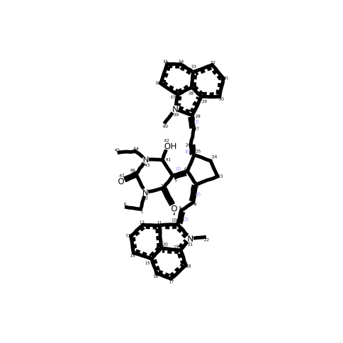 CCN1C(=O)/C(=C2C(=C/C=c3/c4cccc5cccc(c54)n3C)\CCC\2=C/C=c2/c3cccc4cccc(c43)n2C)C(O)N(CC)C1=O